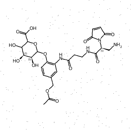 CC(=O)OCc1ccc(OC2OC(C(=O)O)C(O)[C@H](O)[C@@H]2O)c(NC(=O)CCNC(=O)[C@H](CN)N2C(=O)C=CC2=O)c1